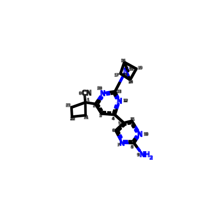 N#CC1(c2cc(-c3cnc(N)nc3)nc(N3CC4CC3C4)n2)CCC1